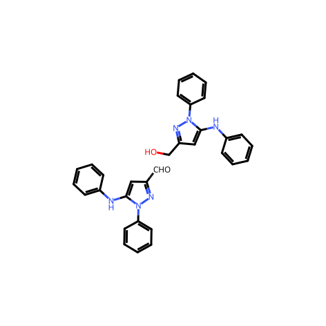 O=Cc1cc(Nc2ccccc2)n(-c2ccccc2)n1.OCc1cc(Nc2ccccc2)n(-c2ccccc2)n1